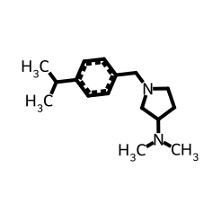 CC(C)c1ccc(CN2CCC(N(C)C)C2)cc1